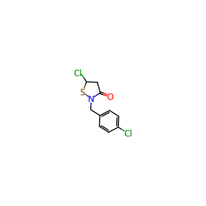 O=C1CC(Cl)SN1Cc1ccc(Cl)cc1